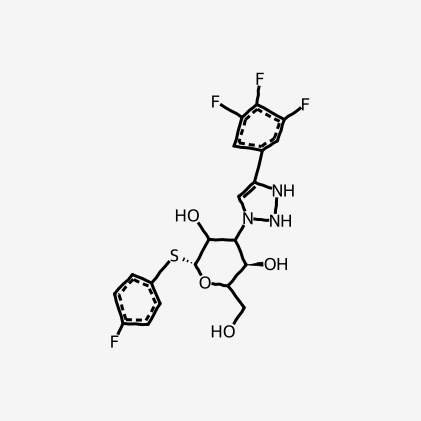 OCC1O[C@H](Sc2ccc(F)cc2)C(O)C(N2C=C(c3cc(F)c(F)c(F)c3)NN2)[C@H]1O